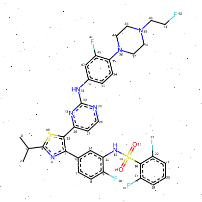 CC(C)c1nc(-c2ccc(F)c(NS(=O)(=O)c3c(F)cccc3F)c2)c(-c2ccnc(Nc3ccc(N4CCN(CCF)CC4)c(F)c3)n2)s1